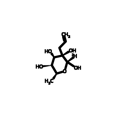 [2H][C@@]1(O)O[C@@H](C)[C@H](O)[C@@H](O)[C@]1(O)CC=C